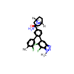 Cn1nnc2cc(-c3ccc(C(=O)N4[C@@H]5CC[C@H]4C[C@@H](N)C5)cc3-c3ccc(C#N)c(F)c3)c(F)c(F)c21